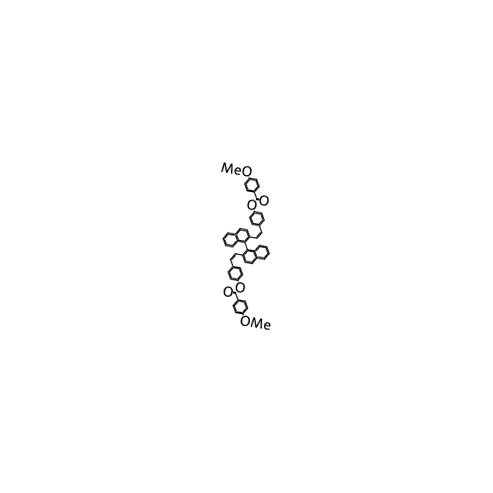 COc1ccc(C(=O)Oc2ccc(/C=C\c3ccc4ccccc4c3-c3c(/C=C\c4ccc(OC(=O)c5ccc(OC)cc5)cc4)ccc4ccccc34)cc2)cc1